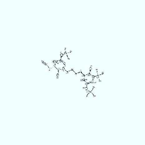 C#CC[C@H](NC(=O)OC(C)(C)C)C(=O)OCCCC[C@H](NC(=O)OC(C)(C)C)C(=O)OC(C)(C)C